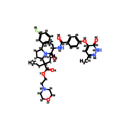 CCC(CC)(C(=O)OCCN1CCOCC1)[C@H]1CC[C@@H](c2cccc(F)c2)N1C(=O)[C@@H](C)NC(=O)c1ccc(Oc2cc(C)n[nH]c2=O)cc1